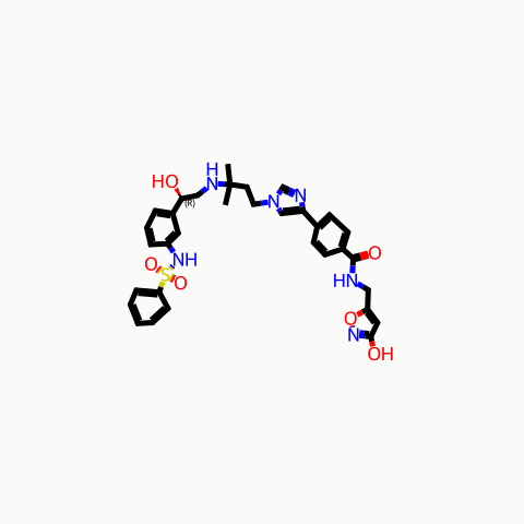 CC(C)(CCn1cnc(-c2ccc(C(=O)NCc3cc(O)no3)cc2)c1)NC[C@H](O)c1cccc(NS(=O)(=O)c2ccccc2)c1